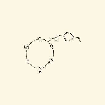 C=Cc1ccc(COCC2COCCNCCOCCNC/C=N/CCO2)cc1